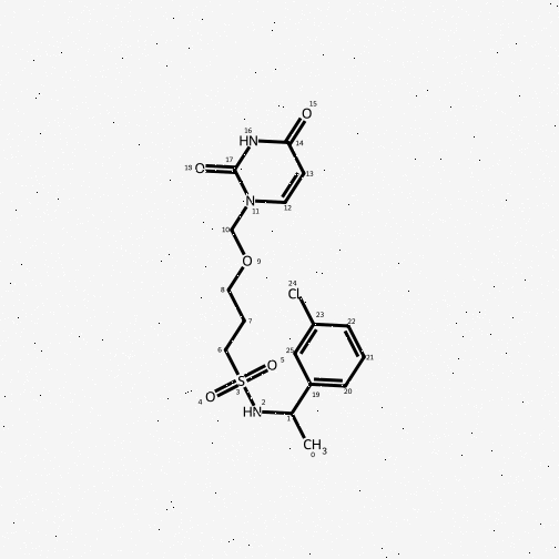 CC(NS(=O)(=O)CCCOCn1ccc(=O)[nH]c1=O)c1cccc(Cl)c1